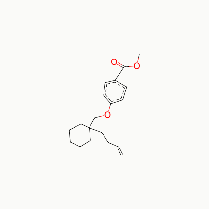 C=CCCC1(COc2ccc(C(=O)OC)cc2)CCCCC1